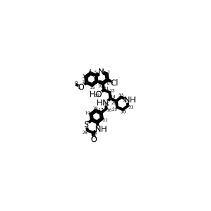 COc1ccc2ncc(Cl)c(C(O)CC(NCc3ccc4c(c3)NC(=O)CS4)C3CCCNC3)c2c1